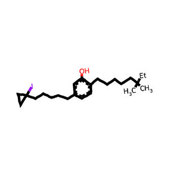 CCC(C)(C)CCCCCc1ccc(CCCCCC2(I)CC2)cc1O